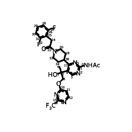 CC(=O)Nc1ncc(C(C)(O)COc2ccnc(C(F)(F)F)n2)c(C2CCN(C(=O)Cc3c(F)cccc3F)CC2)n1